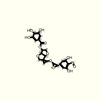 O=Nc1c(O)cc([C@@H]2OC2OC2CC23COC2C(OC(=O)c4cc(O)c(O)c(O)c4)COC23)cc1O